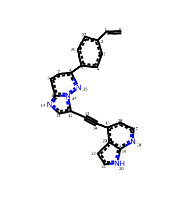 C=Cc1ccc(-c2ccc3ncc(C#Cc4ccnc5[nH]ccc45)n3n2)cc1